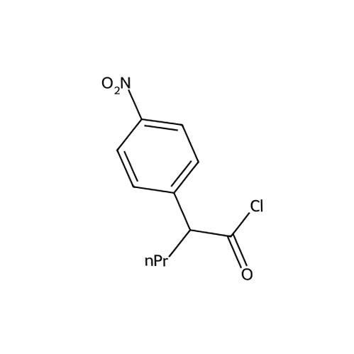 CCCC(C(=O)Cl)c1ccc([N+](=O)[O-])cc1